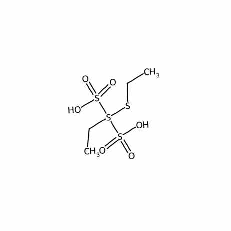 CCSS(CC)(S(=O)(=O)O)S(=O)(=O)O